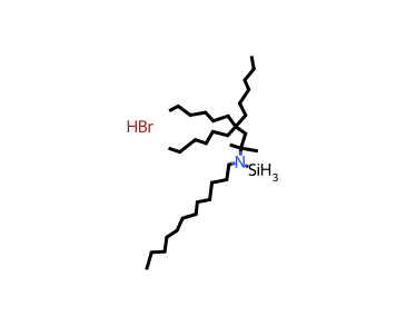 Br.CCCCCCCCCCCCN([SiH3])C(C)(C)CC(CCCCCC)(CCCCCC)CCCCCC